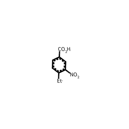 C[CH]c1ccc(C(=O)O)cc1[N+](=O)[O-]